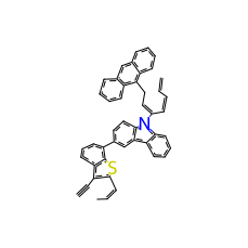 C#Cc1c(/C=C\C)sc2c(-c3ccc4c(c3)c3ccccc3n4C(/C=C\C=C)=C/Cc3c4ccccc4cc4ccccc34)cccc12